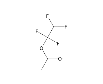 CC([O])OC(F)(F)C(F)F